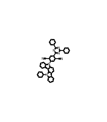 N#Cc1cc(-n2c3ccccc3c3c2ccc2c4ccccc4n(-c4ccccc4)c23)c(C#N)cc1-c1nc(-c2ccccc2)nc(-c2ccccc2)n1